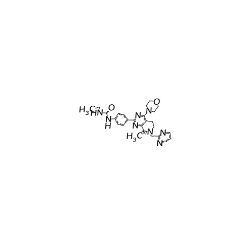 CCNC(=O)Nc1ccc(-c2nc3c(c(N4CCOCC4)n2)CCN(Cc2ncccn2)[C@H]3C)cc1